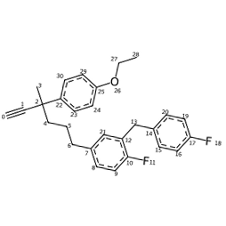 C#CC(C)(CCCc1ccc(F)c(Cc2ccc(F)cc2)c1)c1ccc(OCC)cc1